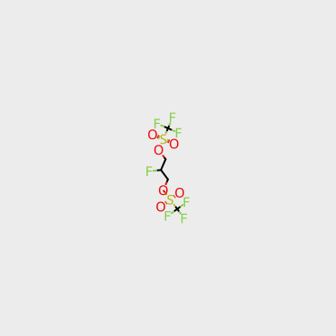 O=S(=O)(OCC(F)COS(=O)(=O)C(F)(F)F)C(F)(F)F